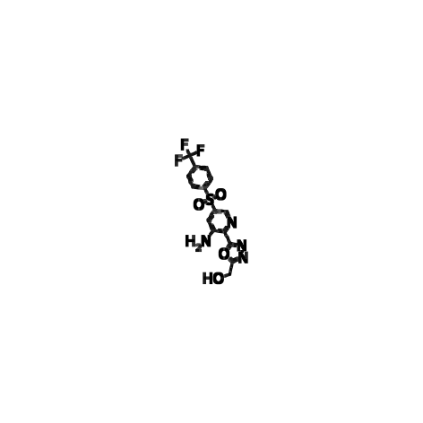 Nc1cc(S(=O)(=O)c2ccc(C(F)(F)F)cc2)cnc1-c1nnc(CO)o1